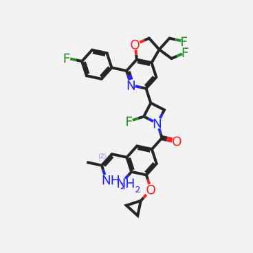 C/C(N)=C/c1cc(C(=O)N2CC(c3cc4c(c(-c5ccc(F)cc5)n3)OCC4(CF)CF)C2F)cc(OC2CC2)c1N